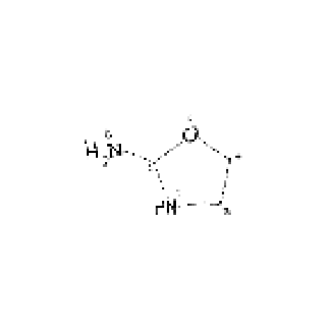 NC1NCCO1